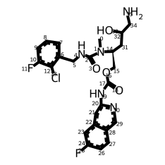 CN(C(=O)NCc1cccc(F)c1Cl)[C@H](COC(=O)Nc1cc2cc(F)ccc2cn1)CC(O)CN